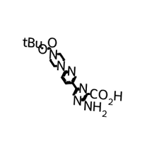 CC(C)(C)OC(=O)N1CCN(c2ccc(-c3cnc(N)c(C(=O)O)n3)cn2)CC1